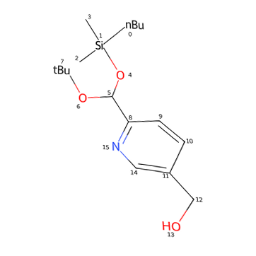 CCCC[Si](C)(C)OC(OC(C)(C)C)c1ccc(CO)cn1